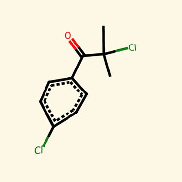 CC(C)(Cl)C(=O)c1ccc(Cl)cc1